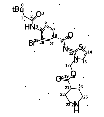 CC(C)(C)CC(=O)Nc1ccc(C(=O)N=c2sccn2COC(=O)C2CCNCC2)cc1Br